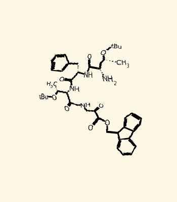 C[C@@H](OC(C)(C)C)[C@H](N)C(=O)N[C@@H](Cc1ccccc1)C(=O)N[C@H](C(=O)NCC(=O)C(=O)OCC1c2ccccc2-c2ccccc21)[C@@H](C)OC(C)(C)C